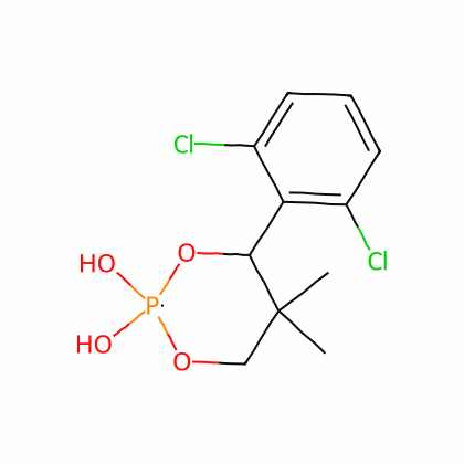 CC1(C)CO[P](O)(O)OC1c1c(Cl)cccc1Cl